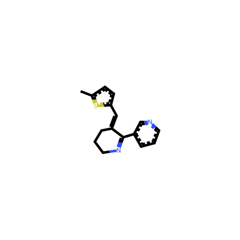 Cc1ccc(C=C2CCCN=C2c2cccnc2)s1